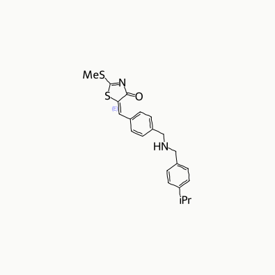 CSC1=NC(=O)/C(=C\c2ccc(CNCc3ccc(C(C)C)cc3)cc2)S1